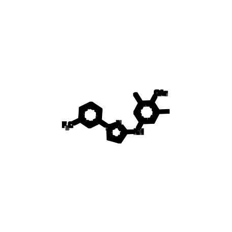 CC(=O)Oc1c(C)cc(Nc2ccn(-c3cccc(C(F)(F)F)c3)n2)cc1C